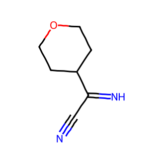 N#CC(=N)C1CCOCC1